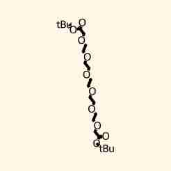 CC(C)(C)OC(=O)COCCOCCOCCOCCOCCOCC(=O)OC(C)(C)C